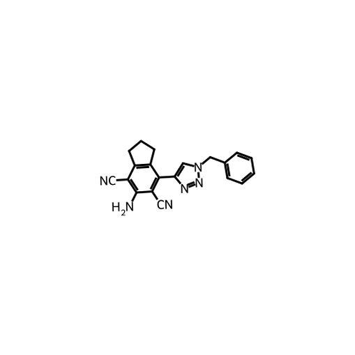 N#Cc1c(N)c(C#N)c(-c2cn(Cc3ccccc3)nn2)c2c1CCC2